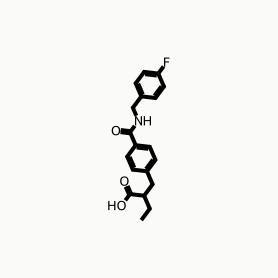 CCC(Cc1ccc(C(=O)NCc2ccc(F)cc2)cc1)C(=O)O